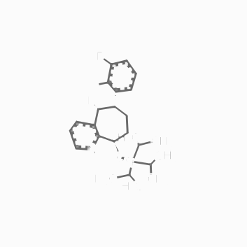 CC(C)[Si](O[C@@H]1CC[C@@H](c2cccc(F)c2F)[C@@H](F)c2cccnc21)(C(C)C)C(C)C